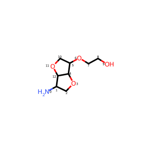 NC1COC2C(OCCO)COC12